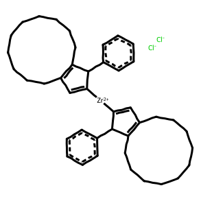 C1=[C]([Zr+2][C]2=CC3=C(CCCCCCCCCC3)C2c2ccccc2)C(c2ccccc2)C2=C1CCCCCCCCCC2.[Cl-].[Cl-]